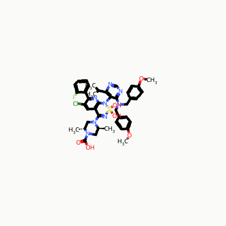 COc1ccc(CN(Cc2ccc(OC)cc2)c2ncnc(C(C)C)c2N2c3nc(-c4ccccc4F)c(Cl)cc3C(N3C[C@@H](C)N(C(=O)O)C[C@@H]3C)=NS2(O)O)cc1